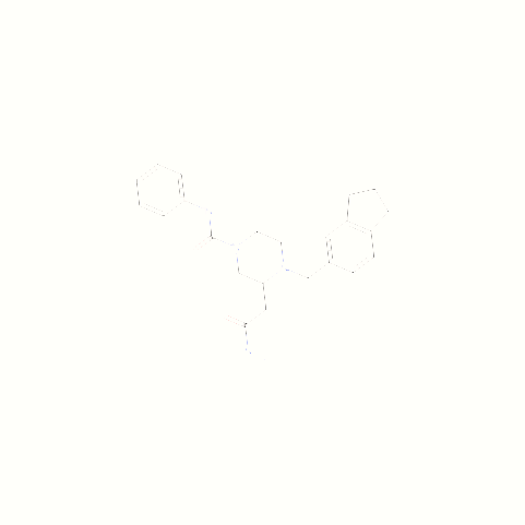 NC(=O)CC1CN(C(=O)Nc2ccccc2)CCN1Cc1ccc2c(c1)CCC2